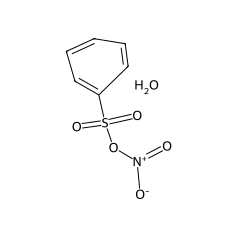 O.O=[N+]([O-])OS(=O)(=O)c1ccccc1